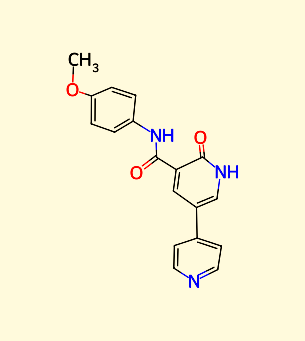 COc1ccc(NC(=O)c2cc(-c3ccncc3)c[nH]c2=O)cc1